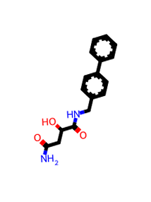 NC(=O)CC(O)C(=O)NCc1ccc(-c2ccccc2)cc1